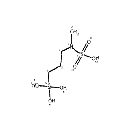 CN(CCC[Si](O)(O)O)S(=O)(=O)O